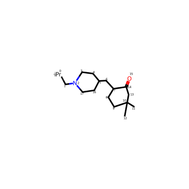 C[C](C)CN1CCC(CC2CCC(C)(C)CC2=O)CC1